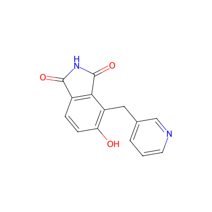 O=C1NC(=O)c2c1ccc(O)c2Cc1cccnc1